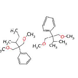 CCC(C)C(COC)(COC)c1ccccc1.COCC(COC)(c1ccccc1)C(C)C